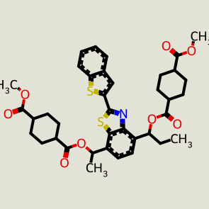 CCC(OC(=O)C1CCC(C(=O)OC)CC1)c1ccc(C(C)OC(=O)C2CCC(C(=O)OC)CC2)c2sc(-c3cc4ccccc4s3)nc12